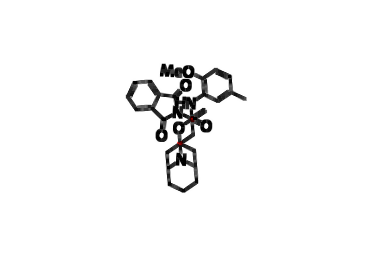 C=C(CCN1C2CCCC1CC(OC(=O)Nc1cc(C)ccc1OC)C2)N1C(=O)c2ccccc2C1=O